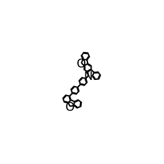 c1ccc2c(c1)oc1cc3c(cc12)c1ccccc1n3-c1ccc(-c2ccc(-c3cccc4oc5ccccc5c34)cc2)cc1